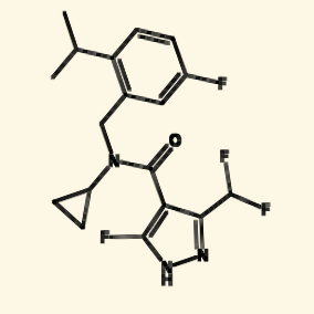 CC(C)c1ccc(F)cc1CN(C(=O)c1c(C(F)F)n[nH]c1F)C1CC1